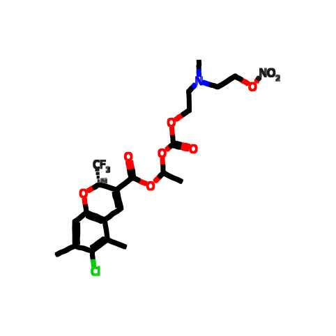 Cc1cc2c(c(C)c1Cl)C=C(C(=O)OC(C)OC(=O)OCCN(C)CCO[N+](=O)[O-])[C@@H](C(F)(F)F)O2